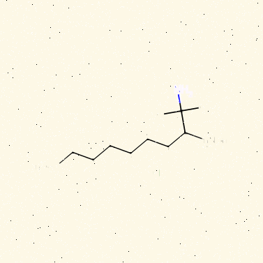 CCCCCCCCCCCCCCCCC(CCCCCCCCC)C(C)(C)N.Cl